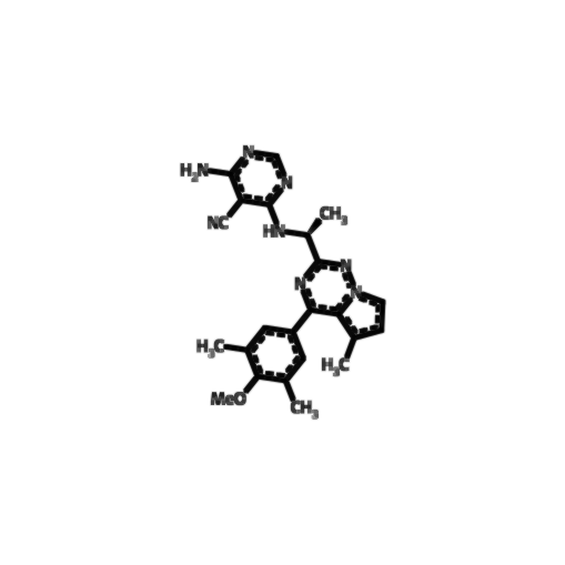 COc1c(C)cc(-c2nc([C@H](C)Nc3ncnc(N)c3C#N)nn3ccc(C)c23)cc1C